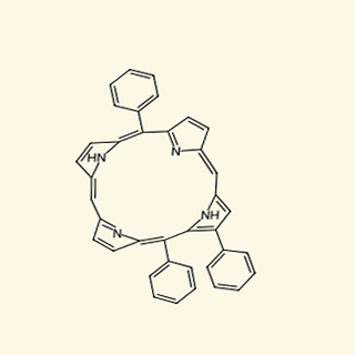 C1=Cc2nc1cc1cc(-c3ccccc3)c([nH]1)c(-c1ccccc1)c1nc(cc3ccc([nH]3)c2-c2ccccc2)C=C1